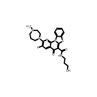 CN1CCCN(c2nc3c(cc2F)c(=O)c(C(=O)NCCCO)c2sc4ccccc4n23)CC1